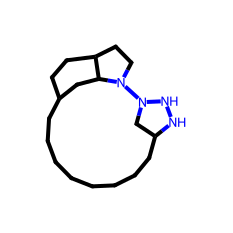 C1CCCCC2CN(NN2)N2CCC3CCC(CCC1)CC32